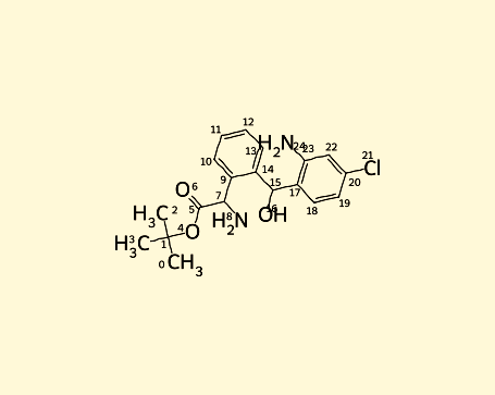 CC(C)(C)OC(=O)C(N)c1ccccc1C(O)c1ccc(Cl)cc1N